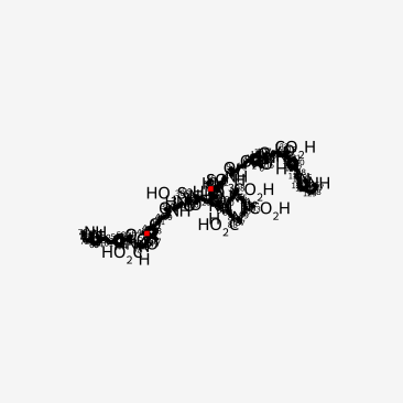 Cc1cc(OCCCC(=O)NCCNC(=O)[C@H](CS(=O)(=O)O)NC(=O)C(CCC(=O)N[C@@H](CS(=O)(=O)O)C(=O)NCCNC(=O)CCCOc2cc(C)c(S(=O)(=O)N[C@@H](CNC(=O)c3ccc(CCc4ccc5c(n4)NCCC5)cc3)C(=O)O)c(C)c2)NC(=O)CN2CCN(CC(=O)O)CCN(CC(=O)O)CCN(CC(=O)O)CC2)cc(C)c1S(=O)(=O)NC[C@H](NC(=O)c1ccc(CCc2ccc3c(n2)NCCC3)cc1)C(=O)O